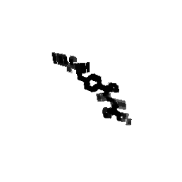 O=C(O)NCc1ccc(C(=O)NNC(=O)C(F)(F)F)cc1